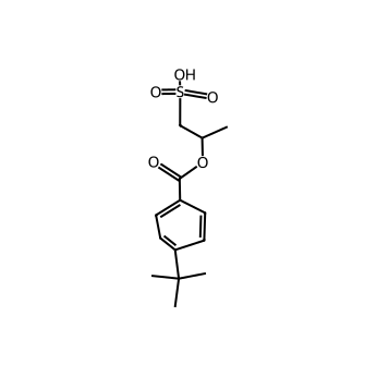 CC(CS(=O)(=O)O)OC(=O)c1ccc(C(C)(C)C)cc1